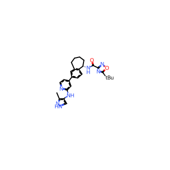 Cc1n[nH]cc1Nc1cc(-c2ccc3c(c2)CCCC[C@@H]3NC(=O)c2noc(C(C)(C)C)n2)ccn1